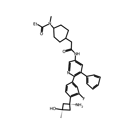 CCC(=O)N(C)C1CCC(CC(=O)Nc2cnc(-c3ccc([C@]4(N)C[C@](C)(O)C4)c(F)c3)c(-c3ccccc3)c2)CC1